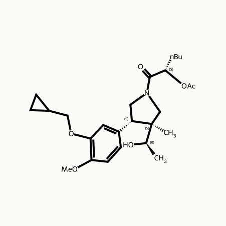 CCCC[C@H](OC(C)=O)C(=O)N1C[C@@H](c2ccc(OC)c(OCC3CC3)c2)[C@](C)([C@@H](C)O)C1